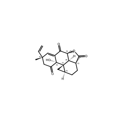 C=C[C@]1(C)C=C2C(=O)[C@@]3(O)OC(=O)[C@@]4(C)CC[C@H]5C[C@]5([C@H]43)[C@@]2(O)C(=O)C1